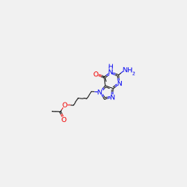 CC(=O)OCCCCn1cnc2nc(N)[nH]c(=O)c21